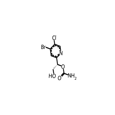 NC(=O)O[C@H](CO)c1cc(Br)c(Cl)cn1